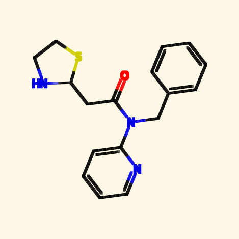 O=C(CC1NCCS1)N(Cc1ccccc1)c1ccccn1